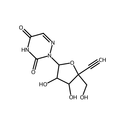 C#CC1(CO)OC(n2ncc(=O)[nH]c2=O)C(O)C1O